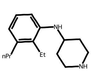 CCCc1cccc(NC2CCNCC2)c1CC